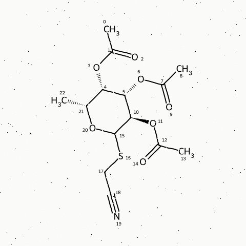 CC(=O)O[C@@H]1[C@H](OC(C)=O)[C@@H](OC(C)=O)C(SCC#N)O[C@@H]1C